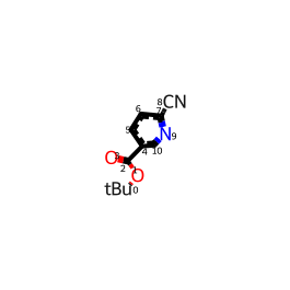 CC(C)(C)OC(=O)c1ccc(C#N)nc1